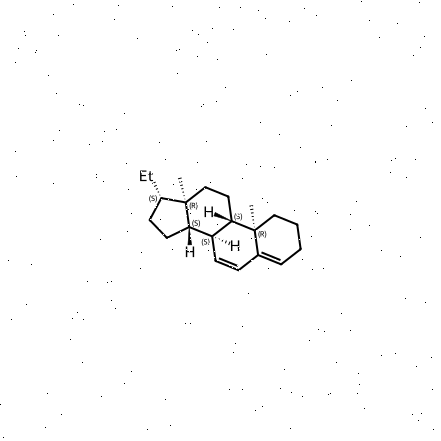 CC[C@H]1CC[C@H]2[C@@H]3C=CC4=CCCC[C@]4(C)[C@H]3CC[C@]12C